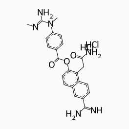 CN=C(N)N(C)c1ccc(C(=O)Oc2ccc3cc(C(=N)N)ccc3c2CC(N)=O)cc1.Cl.Cl